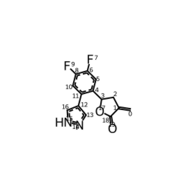 C=C1CC(c2cc(F)c(F)cc2-c2cn[nH]c2)OC1=O